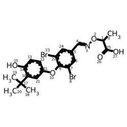 CC(ON=Cc1cc(Br)c(Oc2ccc(O)c(C(C)(C)C)c2)c(Br)c1)C(=O)O